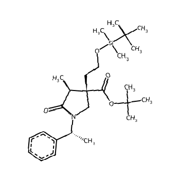 CC1C(=O)N([C@H](C)c2ccccc2)C[C@@]1(CCO[Si](C)(C)C(C)(C)C)C(=O)OC(C)(C)C